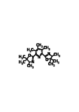 Cc1c(C2=NC(C)C(C)(C)O2)nc(C2=NC(C)C(C)(C)O2)c(C)c1C